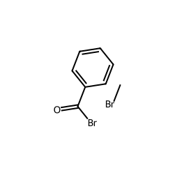 CBr.O=C(Br)c1ccccc1